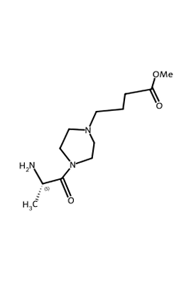 COC(=O)CCCN1CCN(C(=O)[C@H](C)N)CC1